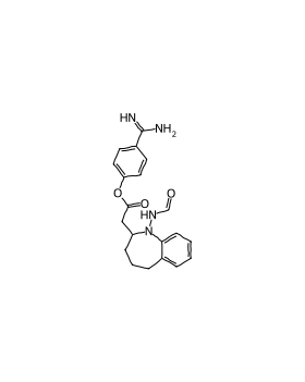 N=C(N)c1ccc(OC(=O)CC2CCCc3ccccc3N2NC=O)cc1